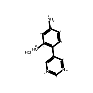 Cl.Nc1ccc(-c2cncnc2)c(O)c1